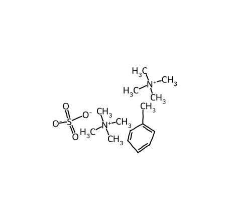 C[N+](C)(C)C.C[N+](C)(C)C.Cc1ccccc1.O=S(=O)([O-])[O-]